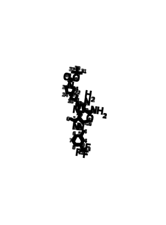 Cc1nn(Cc2cccc(C(F)(F)F)c2)c(C)c1-c1nn([C@H]2C[C@@]3(CCN(C(=O)OC(C)(C)C)C3)C2)c(N)c1C(N)=O